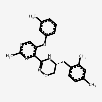 Cc1cccc(Oc2cnc(C)nc2C2=NOC[C@@H](Cc3ccc(C)cc3C)N2)c1